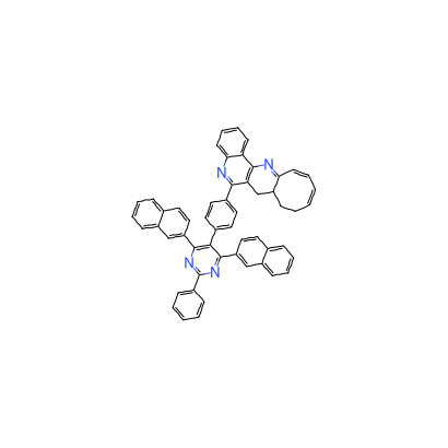 C1=C\CCC2Cc3c(-c4ccc(-c5c(-c6ccc7ccccc7c6)nc(-c6ccccc6)nc5-c5ccc6ccccc6c5)cc4)nc4ccccc4c3N=C2\C=C/1